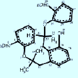 CCCCCCCCCCc1ccccc1OC(C)(C)Cc1cccc(O)c1CC(C)(C)Oc1ccccc1CCCCCCCCCC